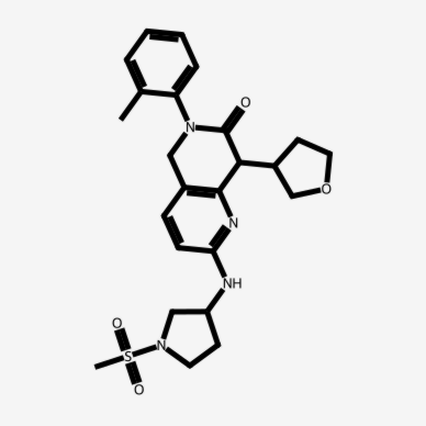 Cc1ccccc1N1Cc2ccc(NC3CCN(S(C)(=O)=O)C3)nc2C(C2CCOC2)C1=O